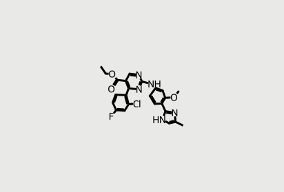 CCOC(=O)c1cnc(Nc2ccc(-c3nc(C)c[nH]3)c(OC)c2)nc1-c1ccc(F)cc1Cl